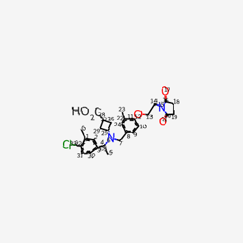 Cc1cc([C@H](C)N(Cc2ccc(OCCN3C(=O)CCC3=O)c(C)c2)[C@H]2C[C@H](C(=O)O)C2)ccc1Cl